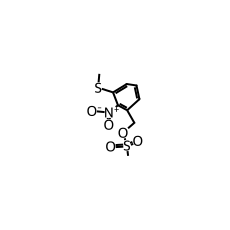 CSc1cccc(COS(C)(=O)=O)c1[N+](=O)[O-]